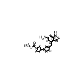 CC(C)(C)OC(=O)N1CCC(n2cc(Cc3cc(N)nc4[nH]nnc34)cn2)C1